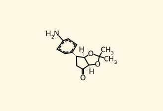 CC1(C)O[C@@H]2[C@@H](c3ccc(N)cc3)CC(=O)[C@@H]2O1